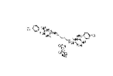 N=C(NCCCCCCNC(=N)NC(=N)Nc1ccc(Cl)cc1)NC(=N)Nc1ccc(Cl)cc1.O=CI.O=[N+]([O-])[O-].[Ag+]